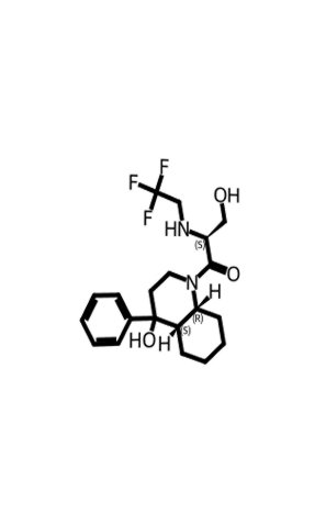 O=C([C@H](CO)NCC(F)(F)F)N1CCC(O)(c2ccccc2)[C@H]2CCCC[C@H]21